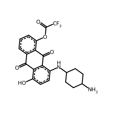 NC1CCC(Nc2ccc(O)c3c2C(=O)c2c(OC(=O)C(F)(F)F)cccc2C3=O)CC1